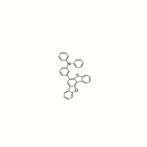 c1ccc(N(c2ccccc2)c2cccc(-c3cc4c5ccccc5oc4c4c3sc3ccccc34)c2)cc1